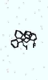 Fc1cccc(F)c1CP(CI)(c1ccccc1)(c1ccccc1)c1ccccc1